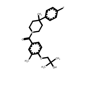 Cc1cc(C(=O)N2CCC(C)(c3ccc(F)cc3)CC2)ccc1OCC(C)(C)O